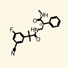 CNC(=O)[C@H](CNC(=O)C(C)(C)c1cc(F)cc(C#N)c1)c1ccccc1